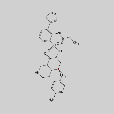 CCC(=O)Nc1c(-c2cccs2)cccc1S(=O)(=O)NC(CCCc1ccc(N)nc1)C(=O)C1CNCCC1CC